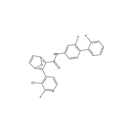 O=C(Nc1ccc(-c2ccccc2F)c(F)c1)c1c(-c2ccnc(F)c2Cl)c2ccc1o2